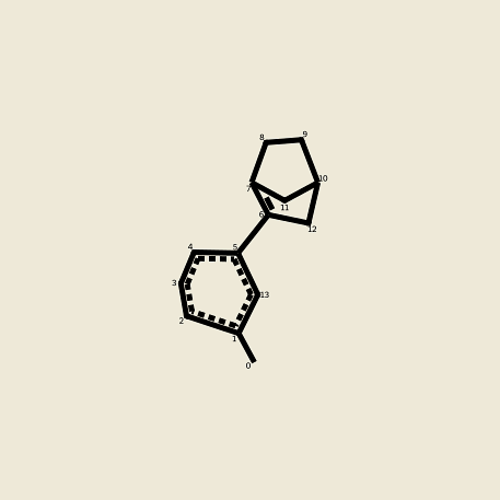 Cc1cccc(C2=C3CCC(C3)C2)c1